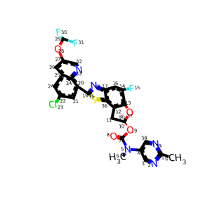 Cc1ncc(N(C)C(=O)O[C@@H]2Cc3c(c(F)cc4nc(-c5cc(Cl)cc6cc(OC(F)F)cnc56)sc34)O2)cn1